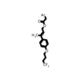 CC(=O)CC(=O)OC/C=C(\C)c1ccc(OCCCC(F)(F)F)cc1